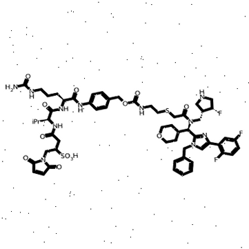 CC(C)[C@H](NC(=O)CC(CN1C(=O)C=CC1=O)S(=O)(=O)O)C(=O)N[C@@H](CCCNC(N)=O)C(=O)Nc1ccc(COC(=O)NCCSCC(=O)N(C[C@@H]2CNC[C@@H]2F)[C@@H](c2nc(-c3cc(F)ccc3F)cn2Cc2ccccc2)C2CCOCC2)cc1